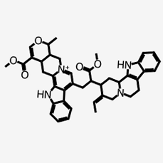 C/C=C1\CN2CCc3c([nH]c4ccccc34)C2CC1C(Cc1c[n+]2c(c3[nH]c4ccccc4c13)CC1C(C(=O)OC)=COC(C)C1C2)C(=O)OC